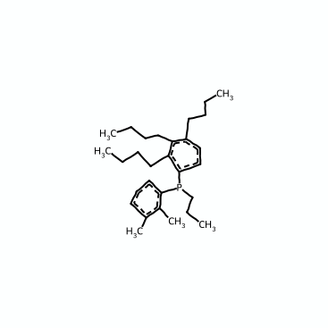 CCCCc1ccc(P(CCC)c2cccc(C)c2C)c(CCCC)c1CCCC